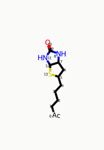 CC(=O)CCCCC1CC2NC(=O)NC2S1